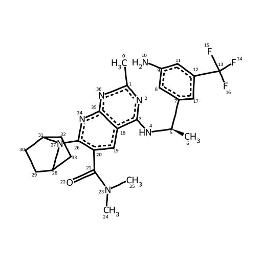 Cc1nc(N[C@H](C)c2cc(N)cc(C(F)(F)F)c2)c2cc(C(=O)N(C)C)c(N3C4CCC3CC4)nc2n1